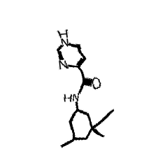 CC1CC(NC(=O)C2=CCNC=N2)CC(C)(C)C1